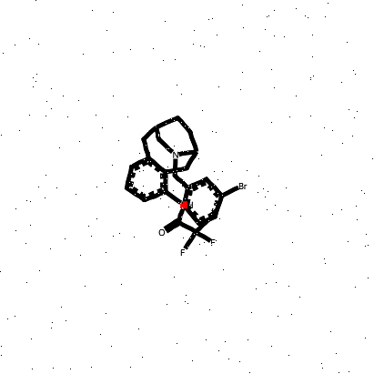 O=C(Nc1cccc2c1CC1CCC(C2)CN1Cc1cccc(Br)c1)C(F)(F)F